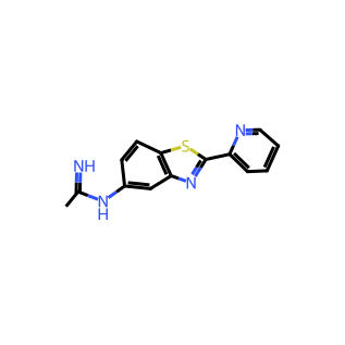 CC(=N)Nc1ccc2sc(-c3ccccn3)nc2c1